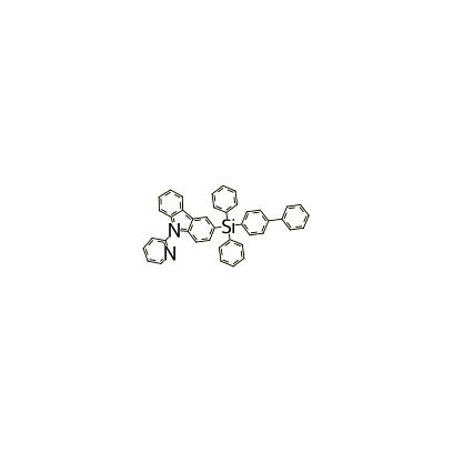 c1ccc(-c2ccc([Si](c3ccccc3)(c3ccccc3)c3ccc4c(c3)c3ccccc3n4-c3ccccn3)cc2)cc1